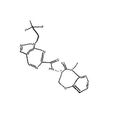 CN1C(=O)[C@@H](NC(=O)c2ncc3cnn(CC(C)(F)F)c3n2)COc2ccccc21